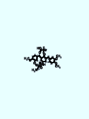 COc1ccc(/C=C2\CC(NS(=O)(=O)CCN)C/C(=C\c3ccc(OC)c(OC)c3)C2=O)cc1OC.O=C(O)C(F)(F)F